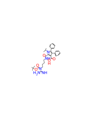 CC(C)n1c(C(=O)NCCCCN(C(=N)N)C(=O)OC(C)(C)C)c(C(=O)O)c(-c2ccccc2)c1-c1ccccc1